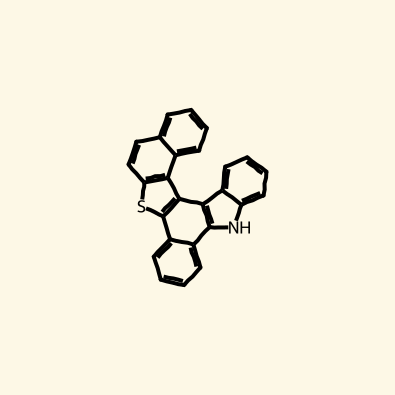 c1ccc2c(c1)ccc1sc3c4ccccc4c4[nH]c5ccccc5c4c3c12